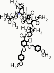 BOC(=O)C1=C(C[N+](C)(C)[C@@H]2CCN(C(=O)c3ccc(OCc4ccc(OC)cc4)c(OCc4ccc(OC)cc4)c3Cl)C2)C[S+]([O-])[C@@H]2[C@H](NC(=O)/C(=N\OC(C)(C)C(C)=O)c3csc(C)n3)C(=O)N12